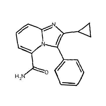 NC(=O)c1cccc2nc(C3CC3)c(-c3ccccc3)n12